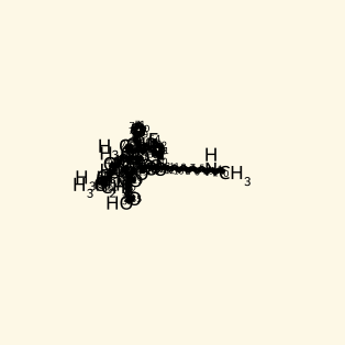 CCCNCCCCCCCCCCOOOOC(=O)C(SC[C@](N)(C(=O)O)C(=O)[C@@H](N)CCC(=O)O)C(=O)N(CCCNC(=O)OCC[Si](C)(C)C)[C@@H](c1cc(-c2cc(F)ccc2F)cn1Cc1ccccc1)C(C)(C)C